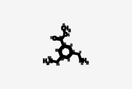 COC(=O)c1cc(CN)cc(CN)c1